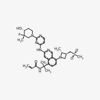 C=CC(=O)NC(C)(C)c1ccc(N2C[C@H](CS(C)(=O)=O)[C@H]2C)c2cnc(Nc3ccnc(N4CC[C@@H](O)[C@@](C)(F)C4)n3)cc12